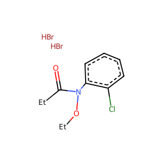 Br.Br.CCON(C(=O)CC)c1ccccc1Cl